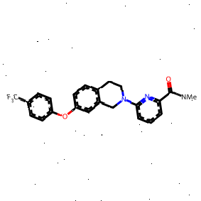 CNC(=O)c1cccc(N2CCc3ccc(Oc4ccc(C(F)(F)F)cc4)cc3C2)n1